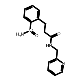 N[N+](=O)c1ccccc1[CH]CC(=O)NCc1ccccn1